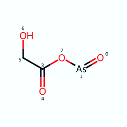 O=[As]OC(=O)CO